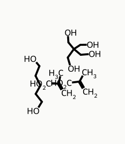 C=C(C)C(=O)O.C=C(C)C(=O)O.OCC(CO)(CO)CO.OCCCCCO